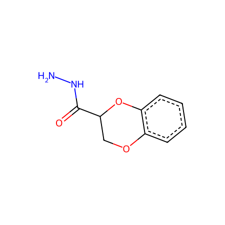 NNC(=O)C1COc2ccccc2O1